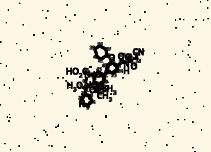 CC(c1cccnc1)[C@@](CN(C(=O)O)C(C)(C)C)(O[Si](C)(C)C(C)(C)C)c1ccc(-c2ccc(C(=O)NS(=O)(=O)CC#N)c(OC3CCCCC3)c2)cc1